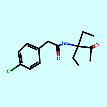 CCC(CC)(NC(=O)Cc1ccc(Cl)cc1)C(C)=O